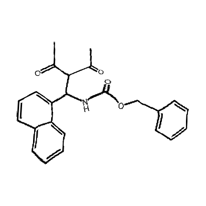 CC(=O)C(C(C)=O)C(NC(=O)OCc1ccccc1)c1cccc2ccccc12